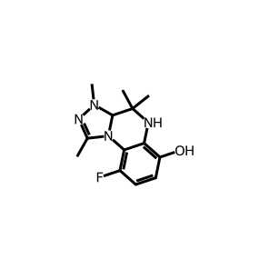 CC1=NN(C)C2N1c1c(F)ccc(O)c1NC2(C)C